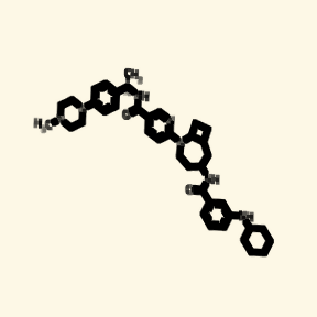 C[C@H](NC(=O)c1ccc(N2CCC(NC(=O)c3cccc(NC4CCCCC4)c3)CC3CCC32)nc1)c1ccc(N2CCN(C)CC2)cc1